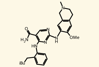 CCC(C)Cc1ccccc1Nc1nc(Nc2cc3c(cc2OC)CCN(C)C3)ncc1C(N)=O